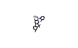 Cc1ccc2c(c1)C(C)(C)c1cc(N(c3ccccc3C)C(C)(C)C)c(C)cc1-2